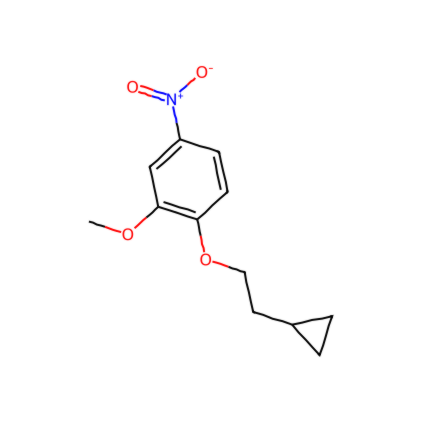 COc1cc([N+](=O)[O-])ccc1OCCC1CC1